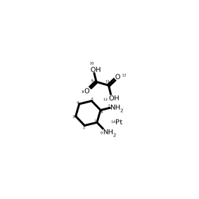 NC1CCCCC1N.O=C(O)C(=O)O.[Pt]